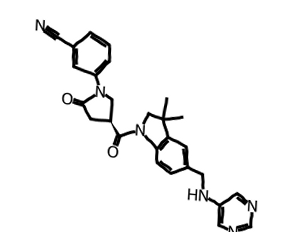 CC1(C)CN(C(=O)[C@H]2CC(=O)N(c3cccc(C#N)c3)C2)c2ccc(CNc3cncnc3)cc21